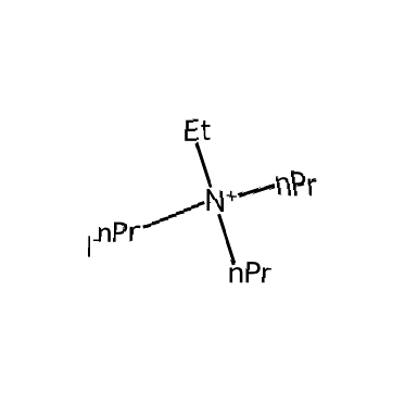 CCC[N+](CC)(CCC)CCC.[I-]